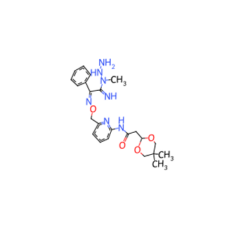 CN(NN)C(=N)/C(=N\OCc1cccc(NC(=O)CC2OCC(C)(C)CO2)n1)c1ccccc1